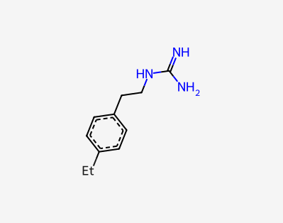 CCc1ccc(CCNC(=N)N)cc1